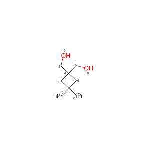 CC(C)C1(C(C)C)CC(CO)(CO)C1